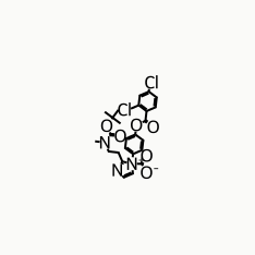 CN(CCC1=NC=C[N+]1(C(=O)[O-])c1ccc(OC(=O)c2ccc(Cl)cc2Cl)cc1)C(=O)OC(C)(C)C